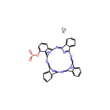 O=[S-](=O)Oc1cccc2c3nc4nc(nc5[nH]c(nc6nc(nc([nH]3)c12)-c1ccccc1-6)c1ccccc51)-c1ccccc1-4.[Co].[K+]